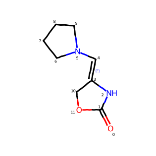 O=C1N/C(=C/N2CCCC2)CO1